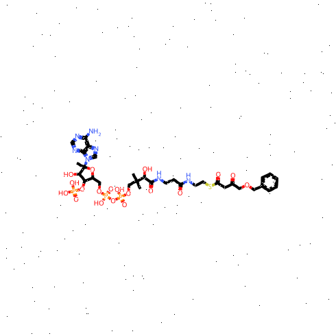 CC(C)(COP(=O)(O)OP(=O)(O)OCC1OC(C)(n2cnc3c(N)ncnc32)C(O)C1OP(=O)(O)O)C(O)C(=O)NCCC(=O)NCCSC(=O)CC(=O)COCc1ccccc1